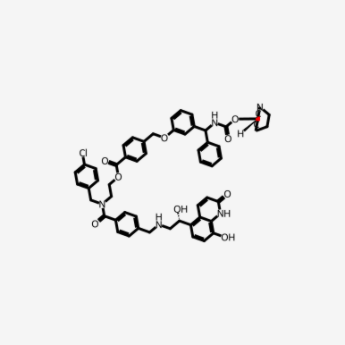 O=C(NC(c1ccccc1)c1cccc(OCc2ccc(C(=O)OCCN(Cc3ccc(Cl)cc3)C(=O)c3ccc(CNC[C@H](O)c4ccc(O)c5[nH]c(=O)ccc45)cc3)cc2)c1)O[C@H]1CN2CCC1CC2